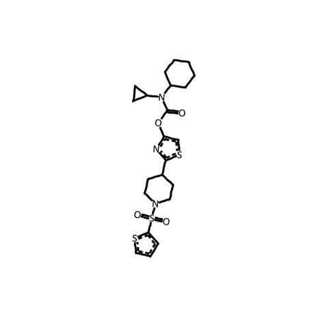 O=C(Oc1csc(C2CCN(S(=O)(=O)c3cccs3)CC2)n1)N(C1CCCCC1)C1CC1